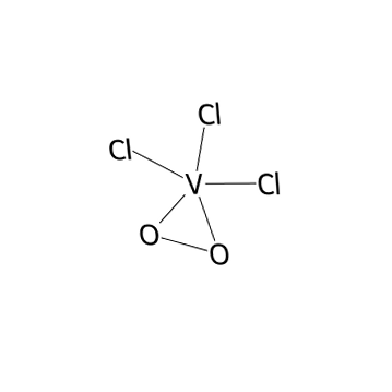 [Cl][V]1([Cl])([Cl])[O][O]1